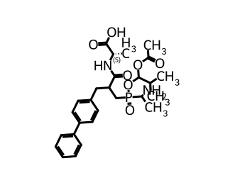 CC(=O)OC(OP(=O)(CC(Cc1ccc(-c2ccccc2)cc1)C(=O)N[C@@H](C)C(=O)O)C(C)N)C(C)C